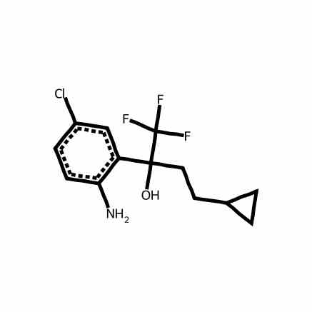 Nc1ccc(Cl)cc1C(O)(CCC1CC1)C(F)(F)F